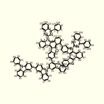 c1ccc(-c2nc(-n3c4ccccc4c4c5c6ccc(-c7cc(-n8c9ccccc9c9cc(-c%10ccc%11c(c%10)c%10ccccc%10n%11-c%10ccccc%10)ccc98)cc8c7sc7ccccc78)cc6oc5c5c(-c6ccc7c8c9c%10ccccc%10sc9c9ccccc9c8n(-c8nc(-c9ccccc9)c9ccccc9n8)c7c6)cccc5c43)nc3ccccc23)cc1